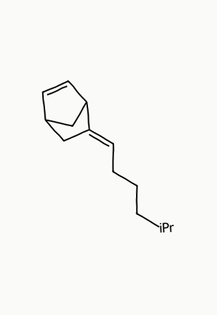 CC(C)CCCC=C1CC2C=CC1C2